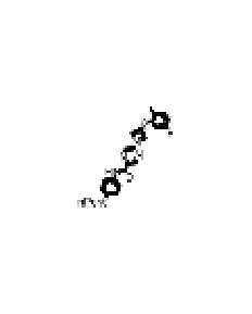 CCCCCc1ccc(NC(=O)c2cnc(N3CC(Oc4cc(F)ccc4C)C3)cn2)cc1